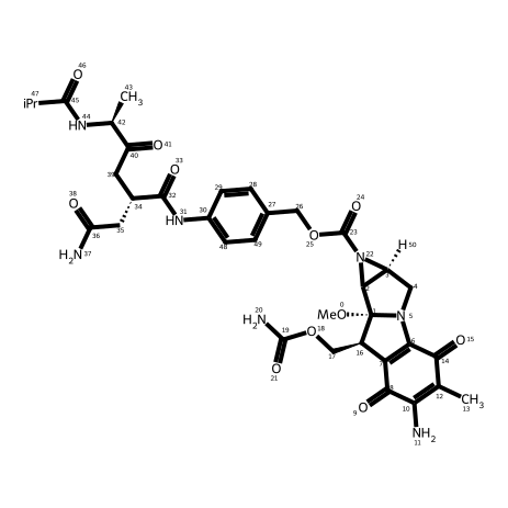 CO[C@]12C3[C@H](CN1C1=C(C(=O)C(N)=C(C)C1=O)[C@H]2COC(N)=O)N3C(=O)OCc1ccc(NC(=O)[C@H](CC(N)=O)CC(=O)[C@H](C)NC(=O)C(C)C)cc1